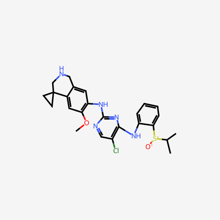 COc1cc2c(cc1Nc1ncc(Cl)c(Nc3ccccc3[S+]([O-])C(C)C)n1)CNCC21CC1